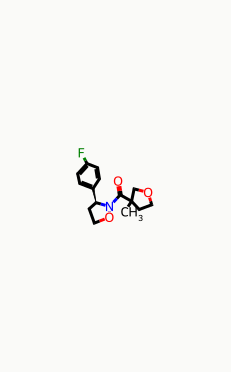 CC1(C(=O)N2OCC[C@H]2c2ccc(F)cc2)CCOC1